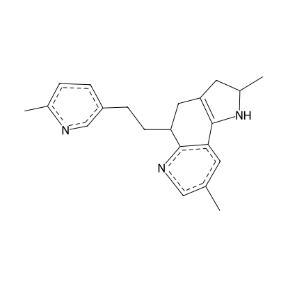 Cc1cnc2c(c1)C1=C(CC(C)N1)CC2CCc1ccc(C)nc1